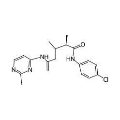 C=C(CC(C)[C@@H](C)C(=O)Nc1ccc(Cl)cc1)Nc1ccnc(C)n1